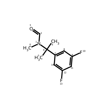 CN(C=O)C(C)(C)c1cc(F)cc(F)c1